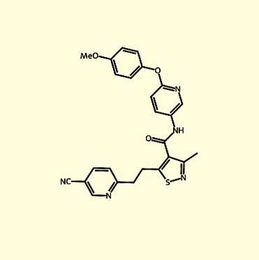 COc1ccc(Oc2ccc(NC(=O)c3c(C)nsc3CCc3ccc(C#N)cn3)cn2)cc1